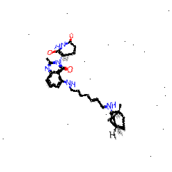 Cc1nc2cccc(NCCCCCCCN[C@H]3C[C@H]4CC[C@]3(C)C4(C)C)c2c(=O)n1[C@H]1CCC(=O)NC1=O